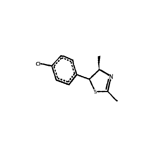 CC1=N[C@H](C)C(c2ccc(Cl)cc2)S1